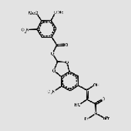 CCCN(CC)C(=O)/C(C#N)=C(\O)c1cc2c(c([N+](=O)[O-])c1)OC(OC(=O)c1cc(OC)c(OC)c([N+](=O)[O-])c1)O2